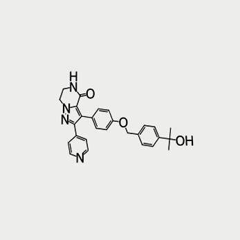 CC(C)(O)c1ccc(COc2ccc(-c3c(-c4ccncc4)nn4c3C(=O)NCC4)cc2)cc1